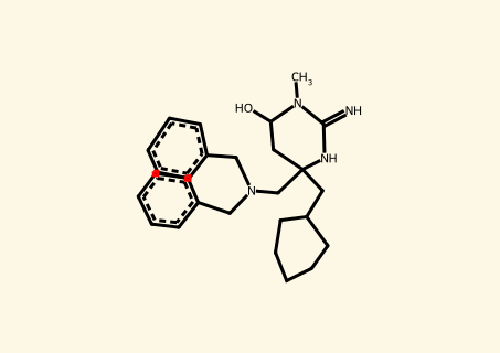 CN1C(=N)NC(CC2CCCCC2)(CN(Cc2ccccc2)Cc2ccccc2)CC1O